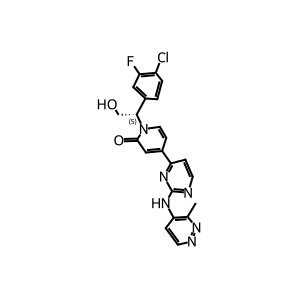 Cc1nnccc1Nc1nccc(-c2ccn([C@H](CO)c3ccc(Cl)c(F)c3)c(=O)c2)n1